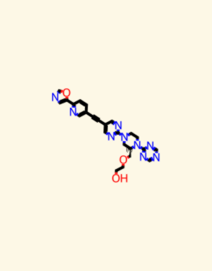 OCCOC[C@H]1CN(c2ncc(C#Cc3ccc(-c4cnco4)nc3)cn2)CCN1c1ncncn1